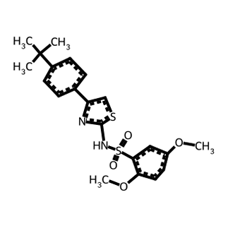 COc1ccc(OC)c(S(=O)(=O)Nc2nc(-c3ccc(C(C)(C)C)cc3)cs2)c1